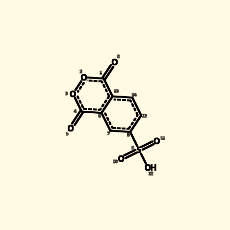 O=c1ooc(=O)c2cc(S(=O)(=O)O)ccc12